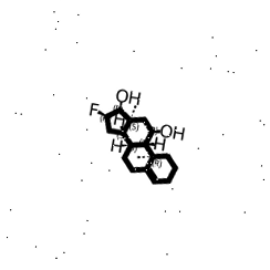 C[C@]12C[C@@H](O)[C@H]3[C@@H](CCC4=CCCC[C@@]43C)[C@@H]1C[C@@H](F)[C@@H]2O